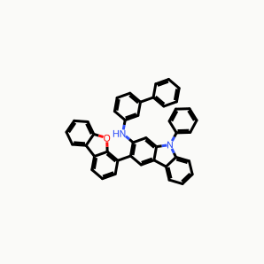 c1ccc(-c2cccc(Nc3cc4c(cc3-c3cccc5c3oc3ccccc35)c3ccccc3n4-c3ccccc3)c2)cc1